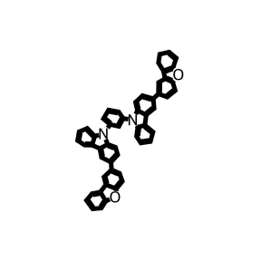 C1=Cc2oc3ccc(-c4ccc5c(c4)c4ccccc4n5-c4cccc(-n5c6ccccc6c6cc(-c7ccc8oc9ccccc9c8c7)ccc65)c4)cc3c2CC1